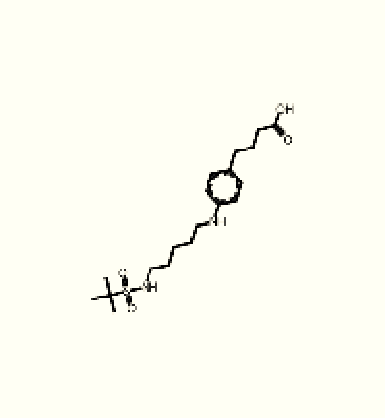 CC(C)(C)S(=O)(=O)NCCCCCNc1ccc(CCCC(=O)O)cc1